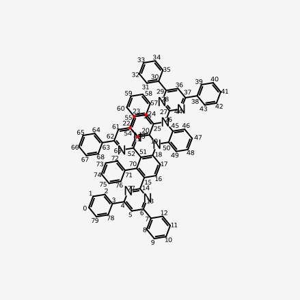 c1ccc(-c2cc(-c3ccccc3)nc(-c3ccc(N4c5ccccc5N(c5nc(-c6ccccc6)cc(-c6ccccc6)n5)c5ccccc54)c(-c4nc(-c5ccccc5)cc(-c5ccccc5)n4)c3-c3ccccc3)n2)cc1